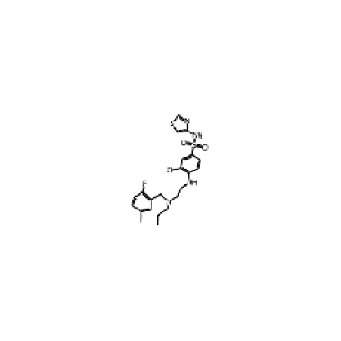 CCCN(CCNc1ccc(S(=O)(=O)Nc2cscn2)cc1Cl)Cc1cc(C)ccc1F